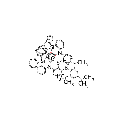 CC(C)c1cc(C(C)C)c(B2c3cccc(N4c5ccccc5[Si]5(c6ccccc6-c6ccccc65)c5ccccc54)c3Sc3c2cccc3N2c3ccccc3[Si]3(c4ccccc4-c4ccccc43)c3ccccc32)c(C(C)C)c1